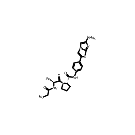 CC(=O)Nc1cn2cc(-c3ccc(NC(=O)[C@@H]4CCCN4C(=O)[C@@H](NC(=O)CO)C(C)C)cc3)sc2n1